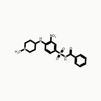 CN1CCC(Nc2ccc(S(=O)(=O)NC(=O)c3ccccc3)cc2[N+](=O)[O-])CC1